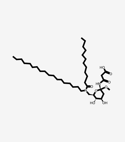 CCCCCCCCCCCCCCCCCCN(C[C@H]1O[C@](NC(=O)CC(=O)O)(OC)C[C@@H](O)[C@@H]1O)C(=O)CCCCCCCCCCC